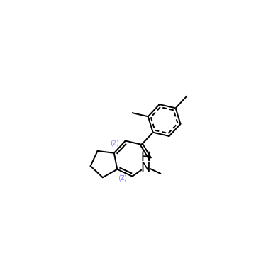 C=C(/C=C1/CCC/C1=C/NC)c1ccc(C)cc1C